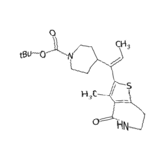 CC=C(c1sc2c(c1C)C(=O)NCC2)C1CCN(C(=O)OC(C)(C)C)CC1